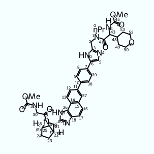 CCCN(Cc1ncc(-c2ccc(-c3ccc4c(ccc5nc([C@@H]6[C@H]7CC[C@H](C7)N6C(=O)CNC(=O)OC)[nH]c54)c3)cc2)[nH]1)C(=O)C(NC(=O)OC)C1CCOCC1